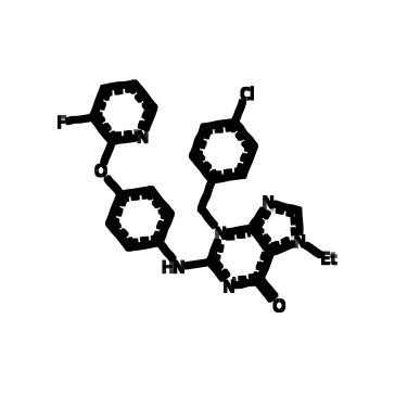 CCn1cnc2c1c(=O)nc(Nc1ccc(Oc3ncccc3F)cc1)n2Cc1ccc(Cl)cc1